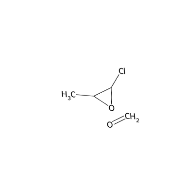 C=O.CC1OC1Cl